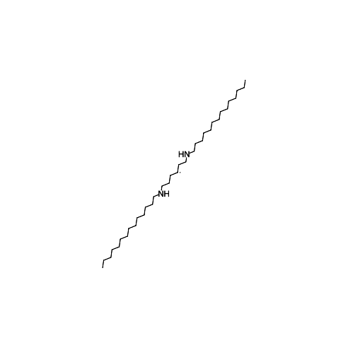 CCCCCCCCCCCCCCNCC[CH]CCCNCCCCCCCCCCCCCC